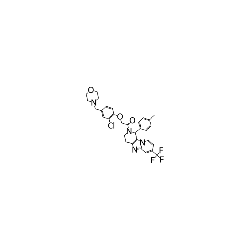 Cc1ccc(C2c3c(nc4cc(C(F)(F)F)ccn34)CCN2C(=O)COc2ccc(CN3CCOCC3)cc2Cl)cc1